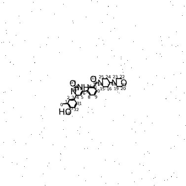 Cc1cc(-c2cc(-c3cccc(C(=O)N4CCC(N5CCOCC5)CC4)c3)[nH]c(=O)n2)ccc1O